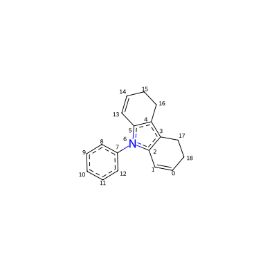 C1=Cc2c(c3c(n2-c2ccccc2)C=CCC3)CC1